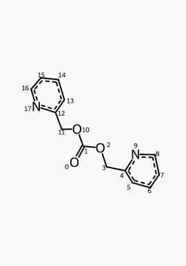 O=C(OCc1ccccn1)OCc1ccccn1